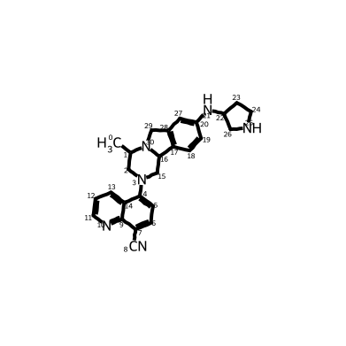 CC1CN(c2ccc(C#N)c3ncccc23)CC2c3ccc(NC4CCNC4)cc3CN12